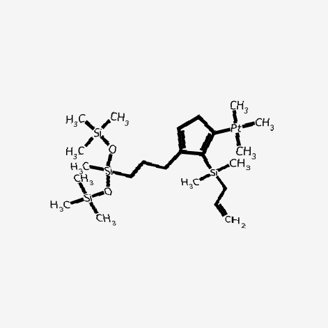 C=CC[Si](C)(C)C1=[C]([Pt]([CH3])([CH3])[CH3])CC=C1CCC[Si](C)(O[Si](C)(C)C)O[Si](C)(C)C